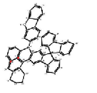 c1ccc(N(c2ccc3c(c2)oc2ccccc23)c2cc3c(cc2-c2cccc4c2CCCC4)-c2ccccc2C32c3ccccc3-c3ccccc32)cc1